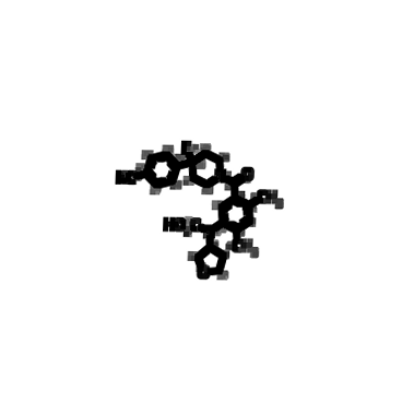 Cc1cc(C)c(N(C(=O)O)C2CCOC2)cc1C(=O)N1CCC(F)(c2ccc(C#N)cc2)CC1